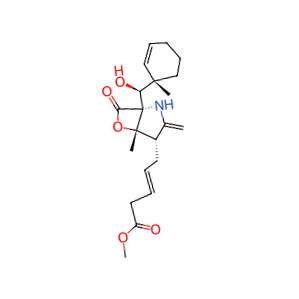 C=C1N[C@@]2([C@@H](O)[C@]3(C)C=CCCC3)C(=O)O[C@@]2(C)[C@H]1C/C=C/CC(=O)OC